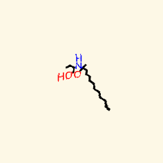 CCCCCCCCCCCC(C)(C)NC(CC)C(=O)O